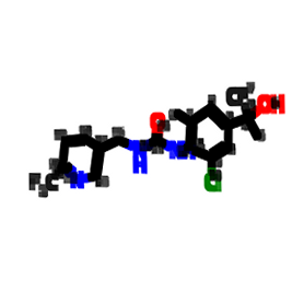 Cc1cc(C(C)(O)C(F)(F)F)cc(Cl)c1NC(=O)NCc1ccc(C(F)(F)F)nc1